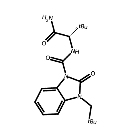 CC(C)(C)Cn1c(=O)n(C(=O)N[C@H](C(N)=O)C(C)(C)C)c2ccccc21